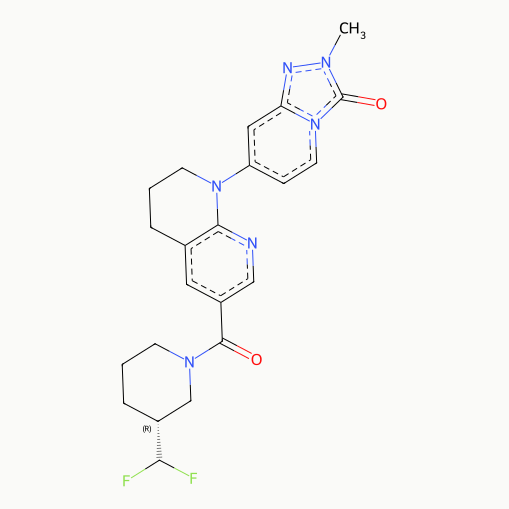 Cn1nc2cc(N3CCCc4cc(C(=O)N5CCC[C@@H](C(F)F)C5)cnc43)ccn2c1=O